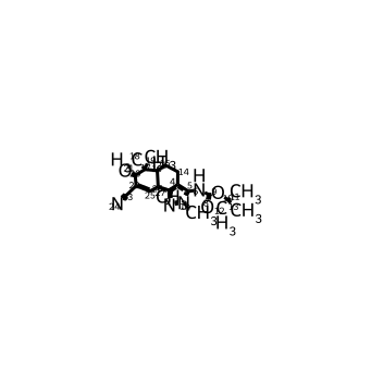 Cn1nc2c(c1NC(=O)OC(C)(C)C)CC[C@H]1C(C)(C)C(=O)C(C#N)=C[C@]21C